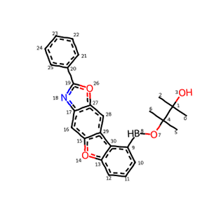 CC(C)(O)C(C)(C)OBc1cccc2oc3cc4nc(-c5ccccc5)oc4cc3c12